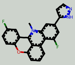 C[n+]1c2c3c(cccc3c3c(F)cc(-c4ccn[nH]4)cc31)Oc1ccc(F)cc1-2